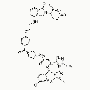 Cc1sc2c(c1C)C(c1ccc(Cl)cc1)=N[C@@H](CC(=O)N[C@H]1CCN(C(=O)c3ccc(OCCNc4cccc5c4CN(C4CCC(=O)NC4=O)C5=O)cc3)C1)c1nnc(C)n1-2